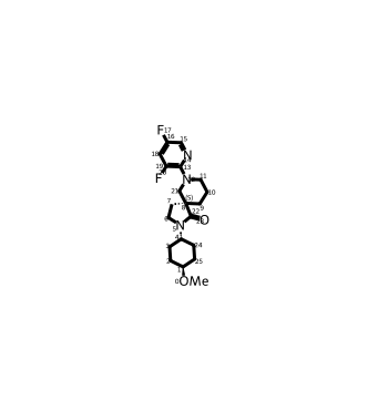 CO[C@H]1CC[C@H](N2CC[C@]3(CCCN(c4ncc(F)cc4F)C3)C2=O)CC1